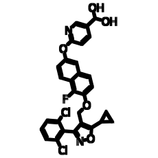 OC(O)c1ccc(Oc2ccc3c(F)c(OCc4c(-c5c(Cl)cccc5Cl)noc4C4CC4)ccc3c2)nc1